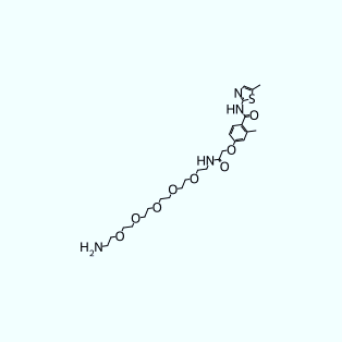 Cc1cnc(NC(=O)c2ccc(OCC(=O)NCCOCCOCCOCCOCCOCCN)cc2C)s1